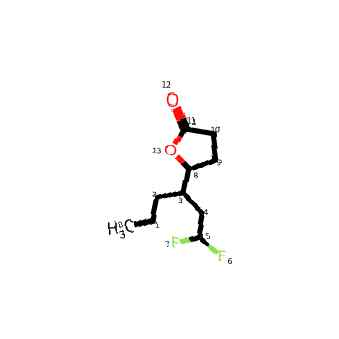 CCCC(CC(F)F)C1CCC(=O)O1